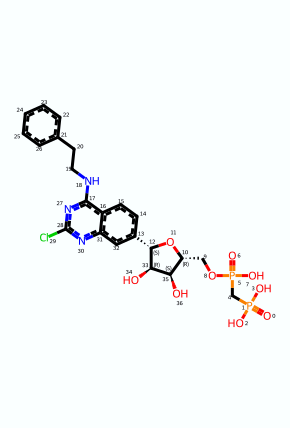 O=P(O)(O)CP(=O)(O)OC[C@H]1O[C@@H](c2ccc3c(NCCc4ccccc4)nc(Cl)nc3c2)[C@H](O)[C@@H]1O